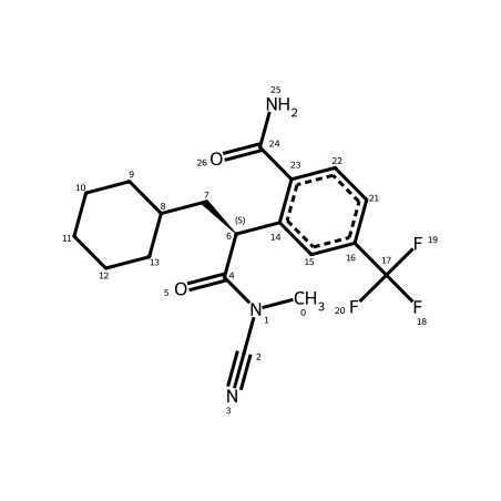 CN(C#N)C(=O)[C@@H](CC1CCCCC1)c1cc(C(F)(F)F)ccc1C(N)=O